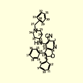 N#Cc1cnc2oc(-c3ccccc3)c(-c3ccccc3)c2c1NC1CCN(Cc2ccccc2)CC1